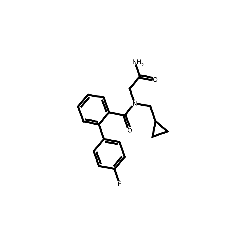 NC(=O)CN(CC1CC1)C(=O)c1ccccc1-c1ccc(F)cc1